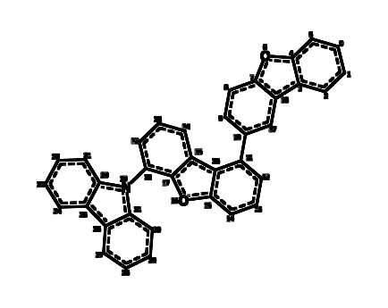 c1ccc2c(c1)oc1ccc(-c3cccc4oc5c(-n6c7ccccc7c7ccccc76)cccc5c34)cc12